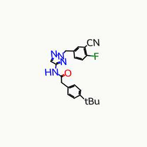 CC(C)(C)c1ccc(CC(=O)Nc2cnn(Cc3ccc(F)c(C#N)c3)n2)cc1